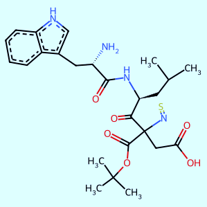 CC(C)C[C@H](NC(=O)[C@@H](N)Cc1c[nH]c2ccccc12)C(=O)C(CC(=O)O)(N=S)C(=O)OC(C)(C)C